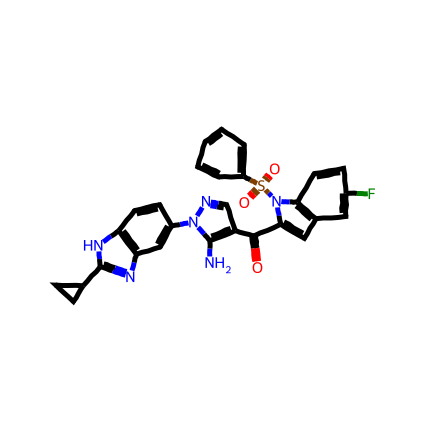 Nc1c(C(=O)c2cc3cc(F)ccc3n2S(=O)(=O)c2ccccc2)cnn1-c1ccc2[nH]c(C3CC3)nc2c1